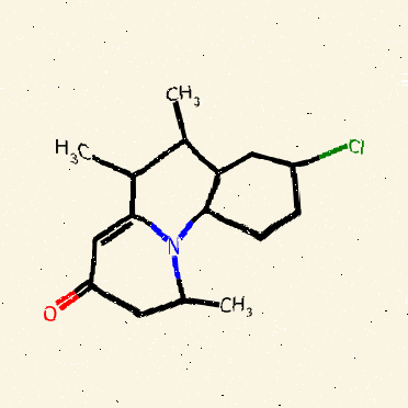 CC1C2=CC(=O)CC(C)N2C2CCC(Cl)CC2C1C